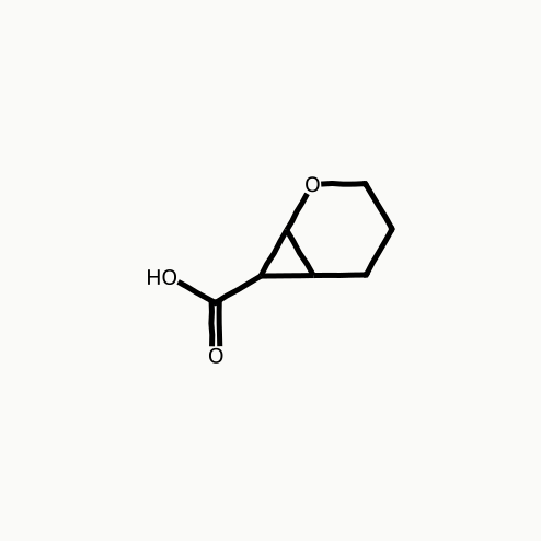 O=C(O)C1C2CCCOC21